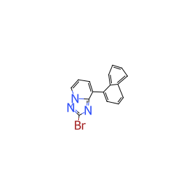 Brc1nc2c(-c3cccc4ccccc34)cccn2n1